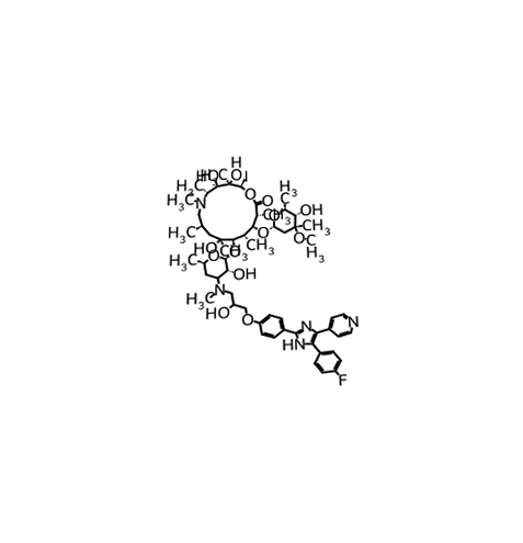 CO[C@]1(C)C[C@H](O[C@H]2[C@H](C)[C@@H](O[C@@H]3O[C@H](C)CC(N(C)CC(O)COc4ccc(-c5nc(-c6ccncc6)c(-c6ccc(F)cc6)[nH]5)cc4)[C@H]3O)[C@](C)(O)C[C@@H](C)CN(C)[C@H](C)[C@@H](O)[C@](C)(O)[C@@H](I)OC(=O)[C@@H]2C)O[C@@H](C)[C@@H]1O